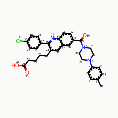 Cc1ccc(N2CCN(C(=O)c3ccc4nc(-c5ccc(Cl)cc5)c(CCCCC(=O)O)cc4c3)CC2)cc1